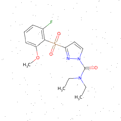 CCN(CC)C(=O)n1ccc(S(=O)(=O)c2c(F)cccc2OC)n1